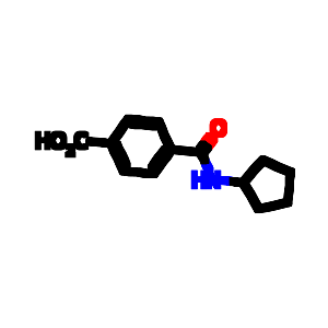 O=C(O)c1ccc(C(=O)NC2CCCC2)cc1